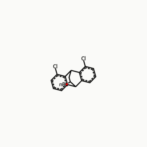 CCCCC1CC2c3c(Cl)cccc3C1c1cccc(Cl)c12